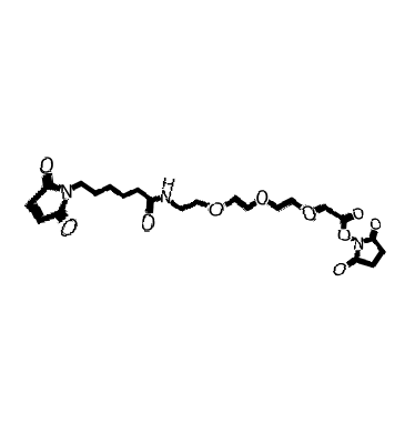 O=C(CCCCCN1C(=O)C=CC1=O)NCCOCCOCCOCC(=O)ON1C(=O)CCC1=O